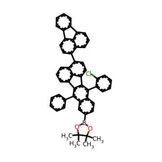 CC1(C)OB(c2ccc3c(-c4ccccc4Cl)c4c(c(-c5ccccc5)c3c2)-c2cccc3c(-c5ccc6c7c(cccc57)-c5ccccc5-6)ccc-4c23)OC1(C)C